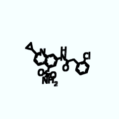 NS(=O)(=O)c1cc(NC(=O)Cc2ccccc2Cl)cc2nc(C3CC3)ccc12